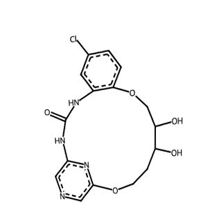 O=C1Nc2cncc(n2)OCCC(O)C(O)COc2ccc(Cl)cc2N1